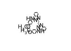 COc1ccc(Nc2nc(CCc3nc(Nc4ccc(OC)cc4)c4ccccc4n3)nc3ccccc23)cc1